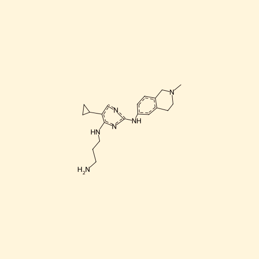 CN1CCc2cc(Nc3ncc(C4CC4)c(NCCCN)n3)ccc2C1